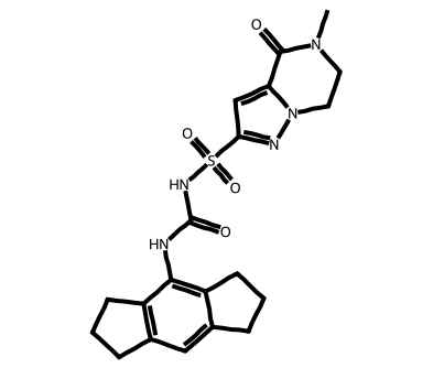 CN1CCn2nc(S(=O)(=O)NC(=O)Nc3c4c(cc5c3CCC5)CCC4)cc2C1=O